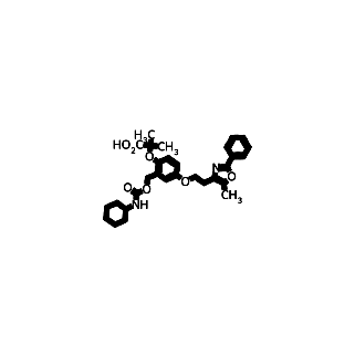 Cc1oc(-c2ccccc2)nc1CCOc1ccc(OC(C)(C)C(=O)O)c(COC(=O)NC2CCCCC2)c1